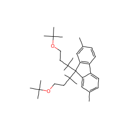 Cc1ccc2c(c1)C(C(C)(C)CCOC(C)(C)C)(C(C)(C)CCOC(C)(C)C)c1cc(C)ccc1-2